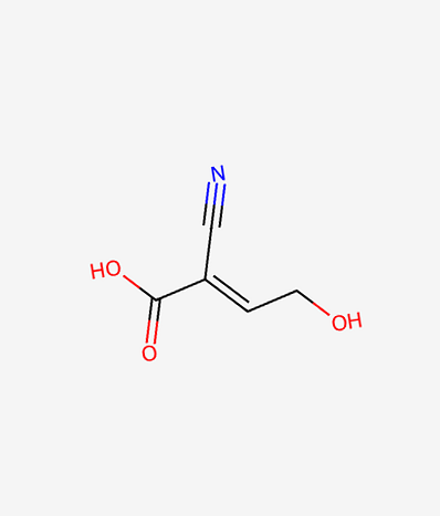 N#C/C(=C\CO)C(=O)O